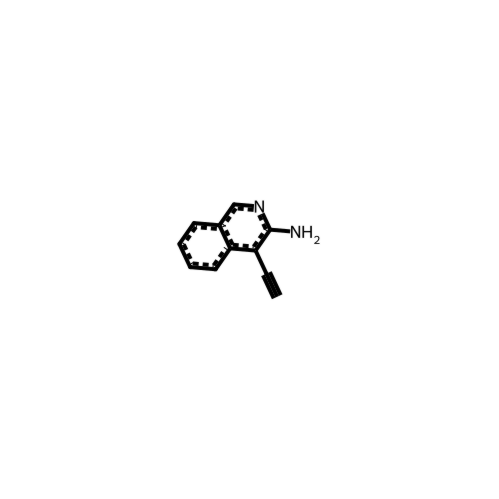 C#Cc1c(N)ncc2ccccc12